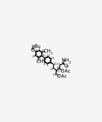 CCCCOc1cc(C)c(-c2ccc(CCC(COC(C)=O)C(CC(N)=O)OC(C)=O)cc2)c(C)c1